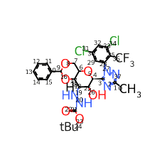 Cc1nc([C@@H]2OC3COC(c4ccccc4)O[C@@H]3C(NNC(=O)OC(C)(C)C)C2O)n(-c2cc(Cl)cc(Cl)c2C(F)(F)F)n1